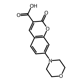 O=C(O)c1cc2ccc(N3CCOCC3)cc2oc1=O